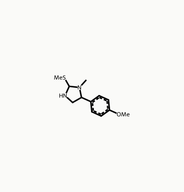 COc1ccc(C2CNC(SC)N2C)cc1